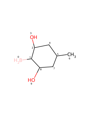 BC1C(O)CC(C)CC1O